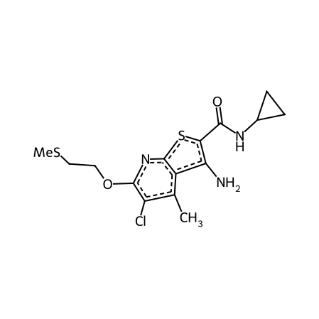 CSCCOc1nc2sc(C(=O)NC3CC3)c(N)c2c(C)c1Cl